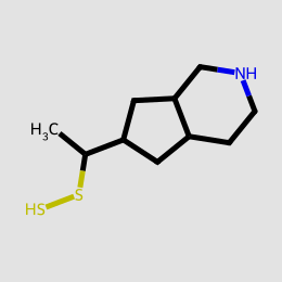 CC(SS)C1CC2CCNCC2C1